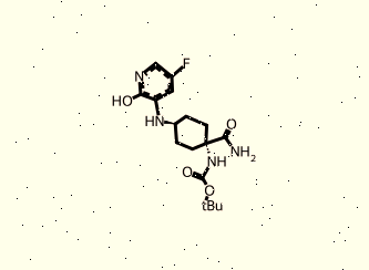 CC(C)(C)OC(=O)N[C@]1(C(N)=O)CC[C@@H](Nc2cc(F)cnc2O)CC1